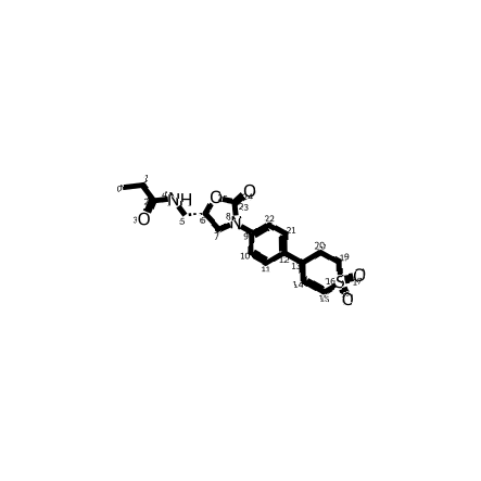 CCC(=O)NC[C@H]1CN(c2ccc(C3C=CS(=O)(=O)CC3)cc2)C(=O)O1